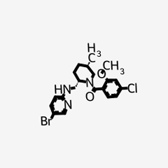 COc1cc(Cl)ccc1C(=O)N1C[C@@H](C)CC[C@H]1CNc1ccc(Br)cn1